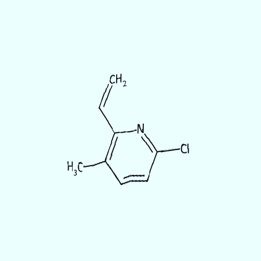 C=Cc1nc(Cl)ccc1C